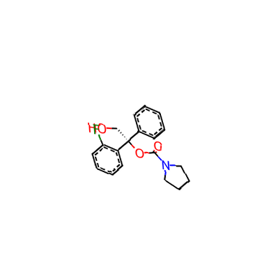 O=C(O[C@](CO)(c1ccccc1)c1ccccc1F)N1CCCC1